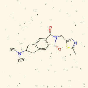 CCCN(CCC)C1Cc2cc3c(cc2C1)C(=O)N(Cc1cnc(C)s1)C3=O